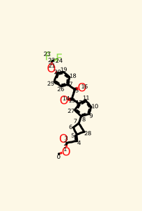 COC(=O)C=C1CC(c2cccc(C(=O)C(=O)c3ccc(OC(F)F)cc3)c2)C1